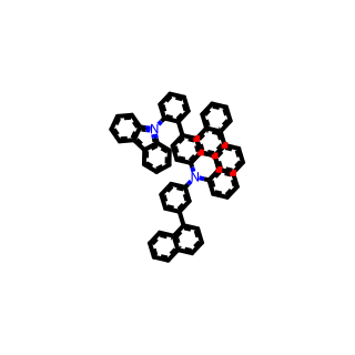 c1ccc(-c2cc(-c3ccccc3-n3c4ccccc4c4ccccc43)ccc2N(c2cccc(-c3cccc4ccccc34)c2)c2ccccc2-c2ccc3ccccc3c2)cc1